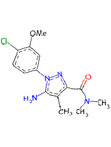 COc1cc(-n2nc(C(=O)N(C)C)c(C)c2N)ccc1Cl